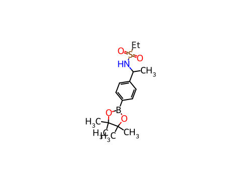 CCS(=O)(=O)NC(C)c1ccc(B2OC(C)(C)C(C)(C)O2)cc1